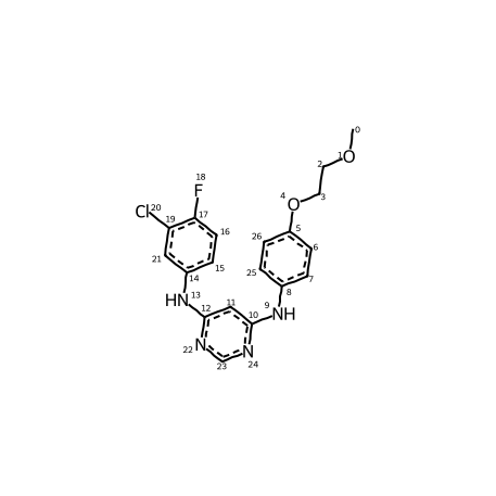 COCCOc1ccc(Nc2cc(Nc3ccc(F)c(Cl)c3)ncn2)cc1